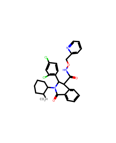 O=C(O)C1CCCCC1N1C(=O)c2ccccc2C(C(=O)NOCc2ccccn2)C1c1ccc(Cl)cc1Cl